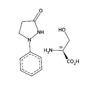 N[C@@H](CO)C(=O)O.O=C1CCN(c2ccccc2)N1